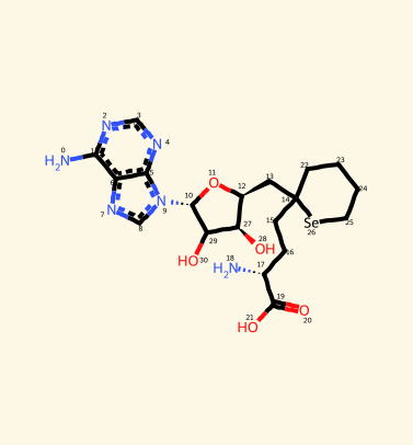 Nc1ncnc2c1ncn2[C@@H]1O[C@@H](CC2(CC[C@@H](N)C(=O)O)CCCC[Se]2)[C@@H](O)C1O